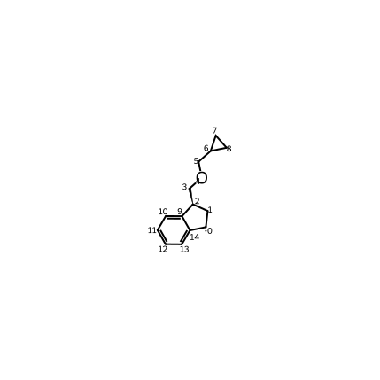 [CH]1C[C@H](COCC2CC2)c2ccccc21